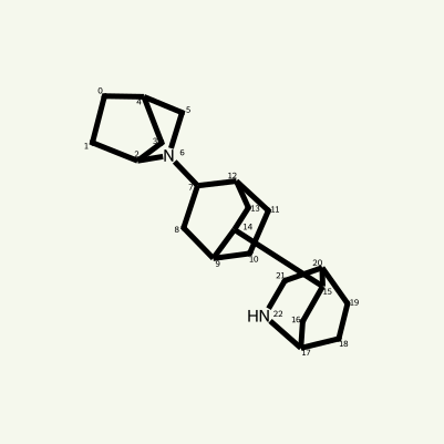 C1CC2CC1CN2C1CC2CCC1CC2C1CC2CCC1CN2